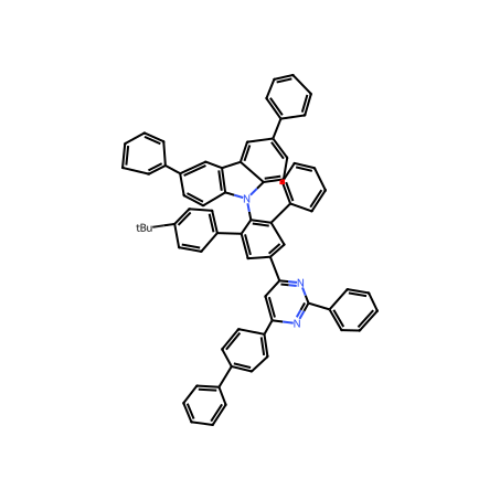 CC(C)(C)c1ccc(-c2cc(-c3cc(-c4ccc(-c5ccccc5)cc4)nc(-c4ccccc4)n3)cc(-c3ccccc3)c2-n2c3ccc(-c4ccccc4)cc3c3cc(-c4ccccc4)ccc32)cc1